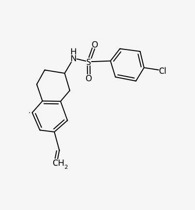 C=Cc1c[c]c2c(c1)CC(NS(=O)(=O)c1ccc(Cl)cc1)CC2